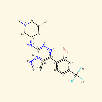 C[C@@H]1C[C@@H](Nc2nnc(-c3ccc(C(F)(F)F)cc3O)c3ccnn23)CN(C)C1